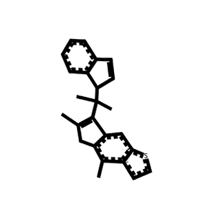 CC1=C(C(C)(C)C2C=Cc3ccccc32)c2cc3sccc3c(C)c2C1